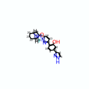 Oc1cc(-c2cc[nH]n2)ccc1-c1ccc(O[C@@H]2C[C@H]3CCC[C@H](N3)[C@@H]2F)nn1